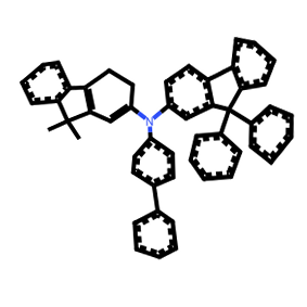 CC1(C)C2=C(CCC(N(c3ccc(-c4ccccc4)cc3)c3ccc4c(c3)C(c3ccccc3)(c3ccccc3)c3ccccc3-4)=C2)c2ccccc21